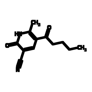 CCCCC(=O)c1cc(C#N)c(=O)[nH]c1C